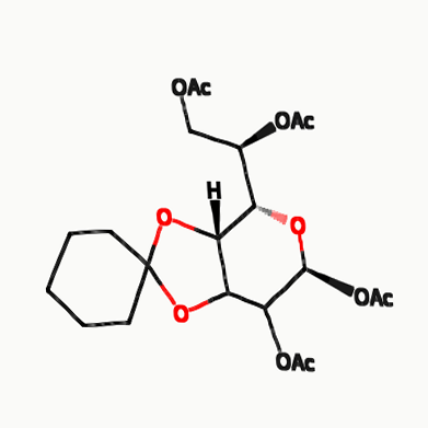 CC(=O)OC[C@@H](OC(C)=O)[C@@H]1O[C@@H](OC(C)=O)C(OC(C)=O)C2OC3(CCCCC3)O[C@@H]21